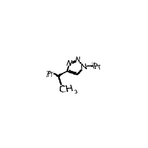 CC(C)C(C)c1cn(C(C)C)nn1